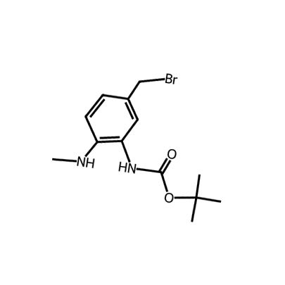 CNc1ccc(CBr)cc1NC(=O)OC(C)(C)C